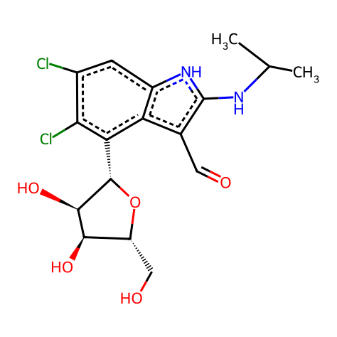 CC(C)Nc1[nH]c2cc(Cl)c(Cl)c([C@@H]3O[C@H](CO)[C@@H](O)[C@H]3O)c2c1C=O